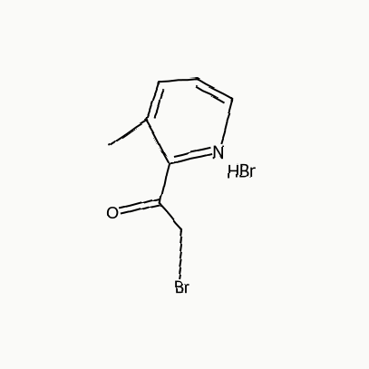 Br.Cc1cccnc1C(=O)CBr